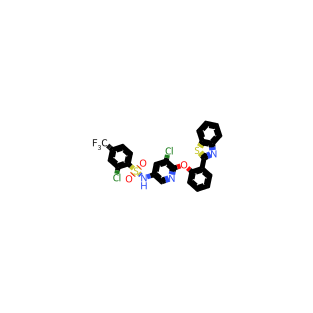 O=S(=O)(Nc1cnc(Oc2ccccc2-c2nc3ccccc3s2)c(Cl)c1)c1ccc(C(F)(F)F)cc1Cl